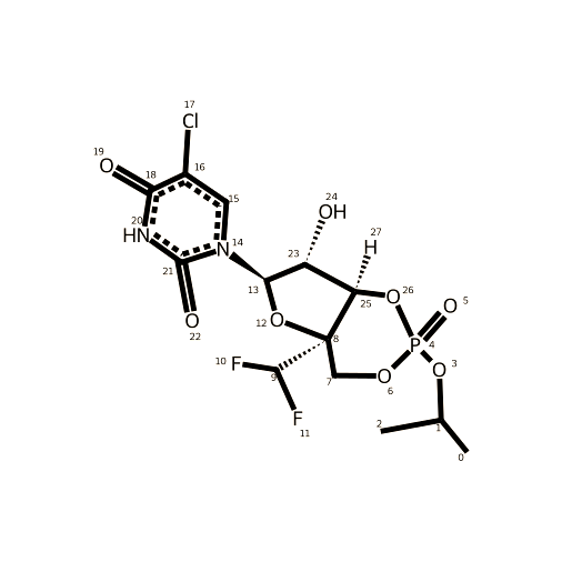 CC(C)OP1(=O)OC[C@@]2(C(F)F)O[C@@H](n3cc(Cl)c(=O)[nH]c3=O)[C@H](O)[C@H]2O1